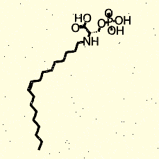 CCCCCCCC/C=C\CCCCCCCCN[C@@H](COP(=O)(O)O)C(=O)O